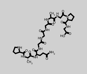 CC(NC(=O)CNC(=O)CNC(=O)CNC(=O)C(CCC(N)=O)NC(=O)[C@H](C)NC(=O)C1CCCN1)C(=O)NCC(=O)N1CCCC1C(=O)NCC(=O)O